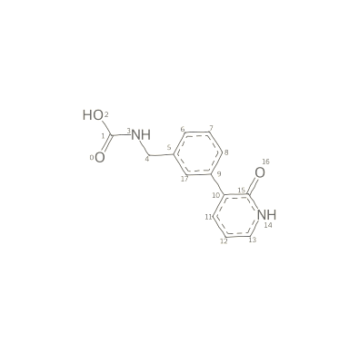 O=C(O)NCc1cccc(-c2ccc[nH]c2=O)c1